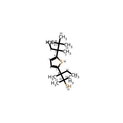 CCC(C)(c1ccc(C(C)(CC)C(C)(C)S)s1)C(C)(C)C